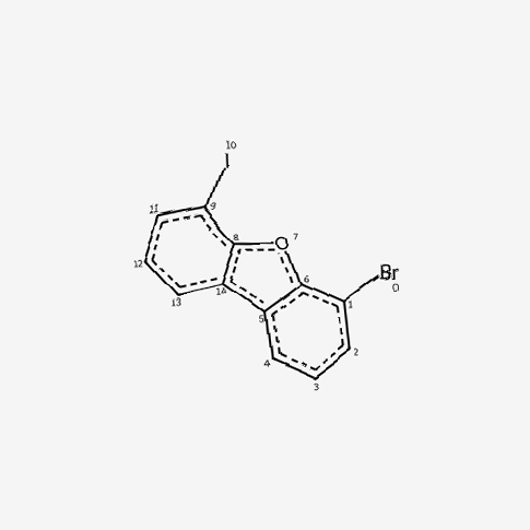 Brc1cccc2c1oc1c(I)cccc12